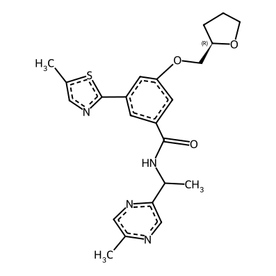 Cc1cnc(C(C)NC(=O)c2cc(OC[C@H]3CCCO3)cc(-c3ncc(C)s3)c2)cn1